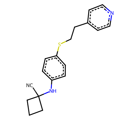 N#CC1(Nc2ccc(SCCc3ccncc3)cc2)CCC1